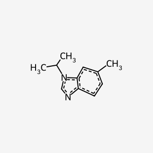 Cc1ccc2ncn(C(C)C)c2c1